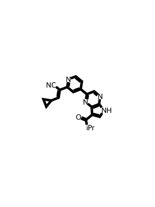 CC(C)C(=O)c1c[nH]c2ncc(-c3ccnc(C(C#N)=CC4CC4)c3)nc12